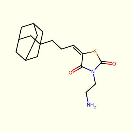 NCCN1C(=O)SC(=CCCC23CC4CC(CC(C4)C2)C3)C1=O